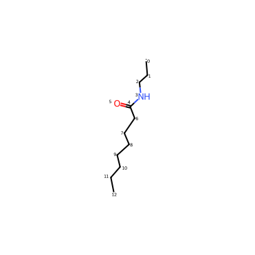 [CH2]CCNC(=O)CCCCCCC